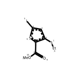 CCSc1cc(I)sc1C(=O)OC